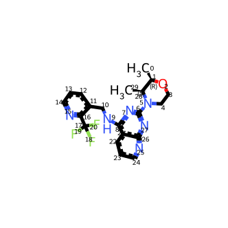 C[C@H]1OCCN(c2nc(NCc3cccnc3C(F)(F)F)c3cccnc3n2)[C@H]1C